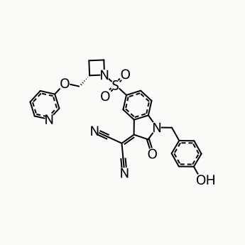 N#CC(C#N)=C1C(=O)N(Cc2ccc(O)cc2)c2ccc(S(=O)(=O)N3CC[C@H]3COc3cccnc3)cc21